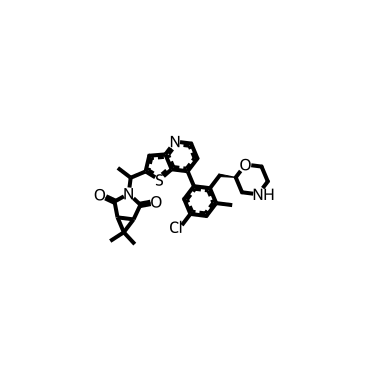 Cc1cc(Cl)cc(-c2ccnc3cc(C(C)N4C(=O)C5C(C4=O)C5(C)C)sc23)c1C[C@@H]1CNCCO1